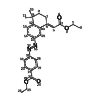 CCOC(=O)C=C1CCC(C)(C)c2ccc(N=Nc3ccc(C(=O)OCC)cc3)cc21